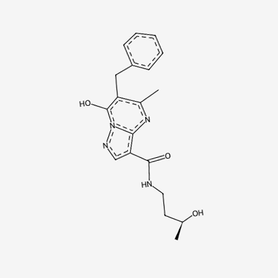 Cc1nc2c(C(=O)NCC[C@H](C)O)cnn2c(O)c1Cc1ccccc1